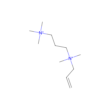 C=CC[N+](C)(C)CCC[N+](C)(C)C